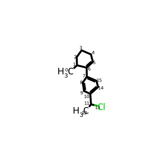 CC1CCCC=C1c1ccc(C(C)Cl)cc1